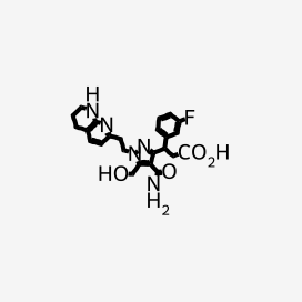 NC(=O)c1c(C(CC(=O)O)c2cccc(F)c2)nn(CCc2ccc3c(n2)NCCC3)c1CO